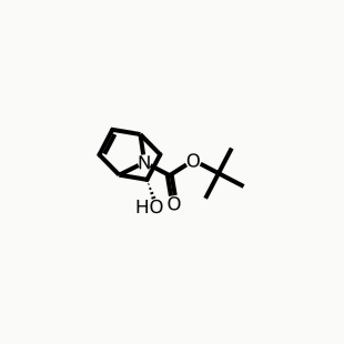 CC(C)(C)OC(=O)N1C2C=CC1[C@@H](O)C2